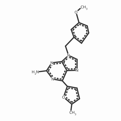 COc1cccc(Cn2cnc3c(-c4ccc(C)o4)nc(N)nc32)c1